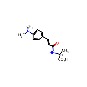 C[C@@H](NC(=O)C=Cc1ccc(N(C)C)cc1)C(=O)O